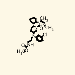 CNCC(C)N(C(=O)N1CCCC(N(CCCNC(=O)OC)c2cccc(Cl)c2)C1)C1CCCCC1